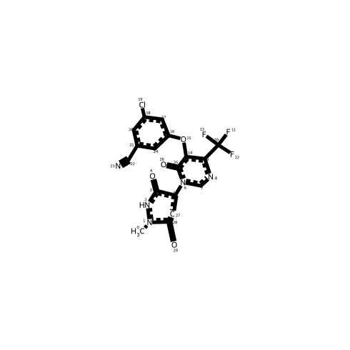 Cn1[nH]c(=O)c(-n2cnc(C(F)(F)F)c(Oc3cc(Cl)cc(C#N)c3)c2=O)cc1=O